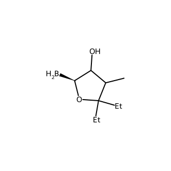 B[C@@H]1OC(CC)(CC)C(C)C1O